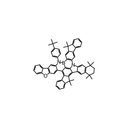 CC(C)(C)c1ccc(N2B3c4cc5c(cc4-n4c6cc7c(cc6c6c8c(c(c3c64)-c3cc4oc6ccccc6c4cc32)-c2ccccc2C8(C)C)C(C)(C)CCC7(C)C)-c2ccccc2C5(C)C)cc1